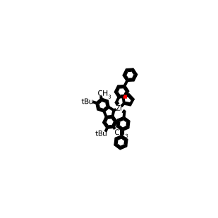 Cc1cc2c(cc1C(C)(C)C)-c1cc(C(C)(C)C)c(C)cc1[CH]2[Zr](=[CH]c1ccc(-c2ccccc2)cc1)(=[CH]c1ccc(-c2ccccc2)cc1)[C]1=CC=CC1